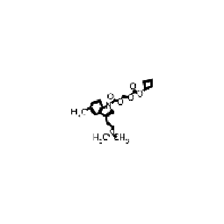 Cc1ccc2c(c1)c(CCN(C)C)cn2C(=O)OCOC(=O)OC1CCC1